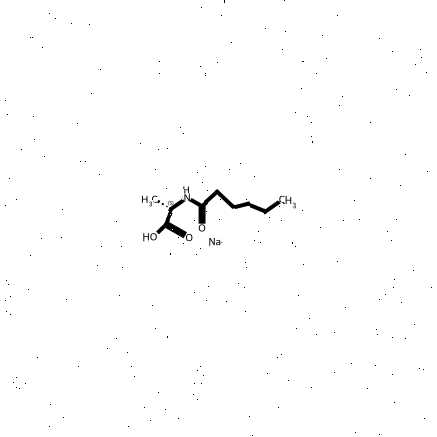 CCCCCC(=O)N[C@@H](C)C(=O)O.[Na]